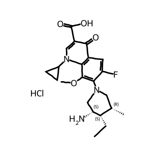 CC[C@@H]1[C@H](N)CN(c2c(F)cc3c(=O)c(C(=O)O)cn(C4CC4)c3c2OC)C[C@@H]1C.Cl